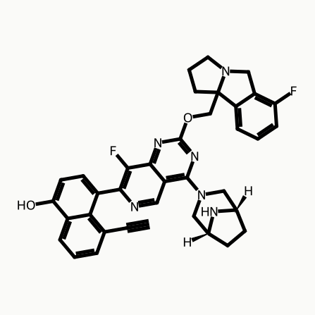 C#Cc1cccc2c(O)ccc(-c3ncc4c(N5C[C@H]6CC[C@@H](C5)N6)nc(OCC56CCCN5Cc5c(F)cccc56)nc4c3F)c12